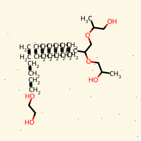 C=C.C=C.C=C.C=C.C=C.C=C.C=C.C=C.C=C.CC(O)COC(C)COC(C)CO.OCCO